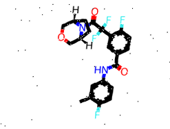 Cc1cc(NC(=O)c2ccc(F)c(C(F)(F)C(=O)N3[C@@H]4CC[C@H]3COC4)c2)ccc1F